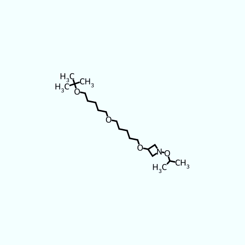 CC(C)ON1CC(OCCCCCOCCCCCOC(C)(C)C)C1